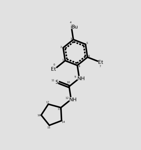 CCc1cc(C(C)CC)cc(CC)c1NC(=S)NC1CCCC1